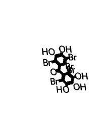 O=C(c1c(Br)c(O)c(O)c(O)c1Br)c1c(Br)c(O)c(O)c(Br)c1Br